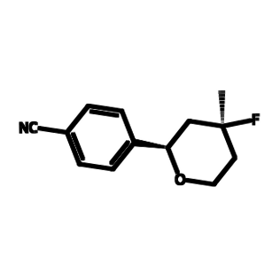 C[C@]1(F)CCO[C@@H](c2ccc(C#N)cc2)C1